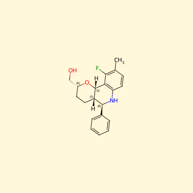 Cc1ccc2c(c1F)[C@H]1O[C@@H](CO)CC[C@H]1[C@H](c1ccccc1)N2